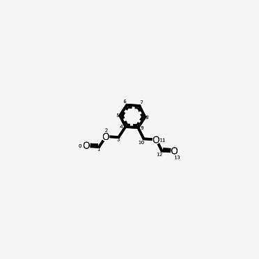 O=COCc1ccccc1COC=O